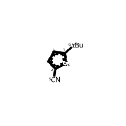 CC(C)(C)c1ccc(C#N)s1